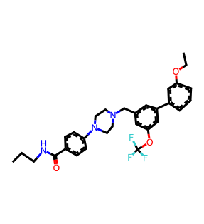 CCCNC(=O)c1ccc(N2CCN(Cc3cc(OC(F)(F)F)cc(-c4cccc(OCC)c4)c3)CC2)cc1